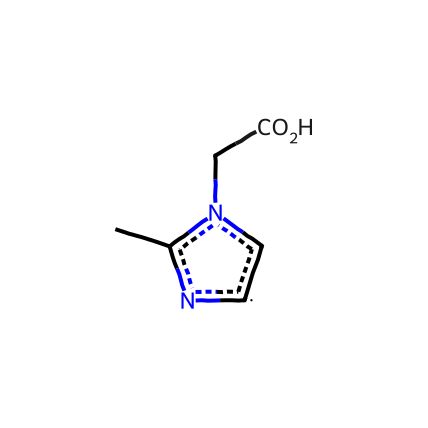 Cc1n[c]cn1CC(=O)O